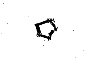 [C]1=[N+]N=NN1